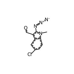 Cn1c(N=[N+]=[N-])c(C=O)c2cc(Cl)ccc21